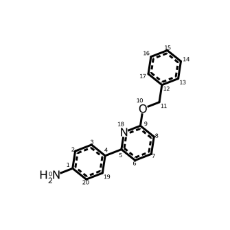 Nc1ccc(-c2cccc(OCc3ccccc3)n2)cc1